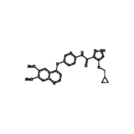 COc1cc2nccc(Oc3ccc(NC(=O)c4n[nH]cc4OCC4CC4)nc3)c2cc1OC